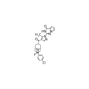 Cc1c(C(=O)C2CC3CC(F)(c4ccc(Cl)cc4)CC(C2)N3)cnn1-c1nn2cccc2c(=O)[nH]1